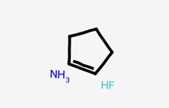 C1=CCCC1.F.N